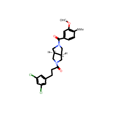 CNc1ccc(C(=O)N2C[C@H]3CN(C(=O)CCc4cc(Cl)cc(Cl)c4)C[C@H]3C2)cc1OC=O